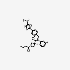 CCCC(=O)N1CC(F)(C(=O)N(Cc2ccc(-c3nnc(C(F)F)o3)cn2)c2cccc(F)c2)C1